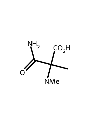 CNC(C)(C(N)=O)C(=O)O